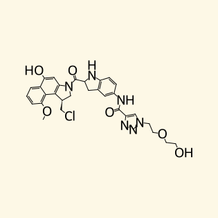 COc1cccc2c(O)cc3c(c12)[C@H](CCl)CN3C(=O)C1Cc2cc(NC(=O)c3cn(CCOCCO)nn3)ccc2N1